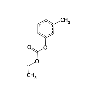 C[CH]OC(=O)Oc1cccc(C)c1